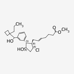 CCCC1(C(O)c2cccc([C@@H]3[C@@H](CC=CCCCC(=O)OC)[C@H](Cl)C[C@H]3O)c2)CCC1